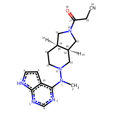 CN(c1ncnc2[nH]ccc12)N1CC[C@H]2CN(C(=O)CC#N)C[C@H]2C1